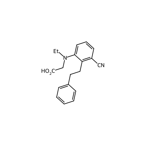 CCN(CC(=O)O)c1cccc(C#N)c1CCc1ccccc1